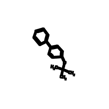 CC(C)(C)Oc1ccc(-c2cc[c]cc2)cc1